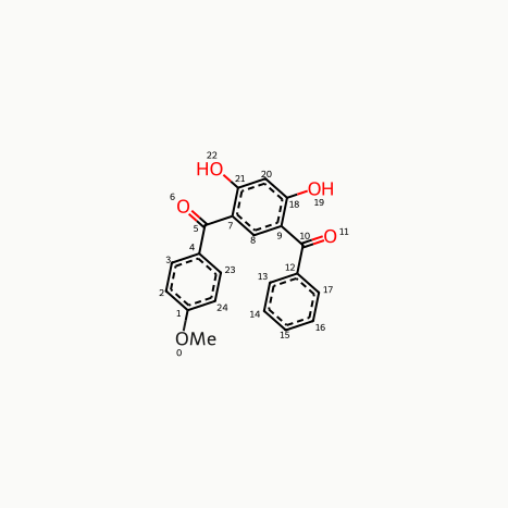 COc1ccc(C(=O)c2cc(C(=O)c3ccccc3)c(O)cc2O)cc1